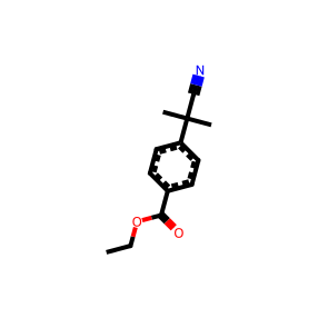 CCOC(=O)c1ccc(C(C)(C)C#N)cc1